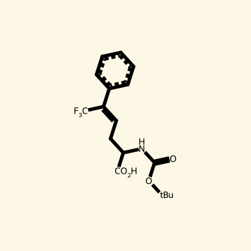 CC(C)(C)OC(=O)NC(CC=C(c1ccccc1)C(F)(F)F)C(=O)O